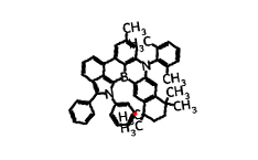 Cc1cc2c3c(c1)N(c1c(C)cccc1C)c1cc4c(cc1B3c1c3c-2cccc3c(-c2ccccc2)n1-c1ccccc1)C(C)(C)CCC4(C)C